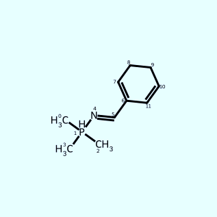 C[PH](C)(C)/N=C/C1=CCCC=C1